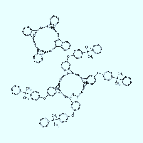 CC(C)(c1ccccc1)c1ccc(Oc2ccc3c(c2)-c2nc-3nc3[nH]c(nc4nc(nc5[nH]c(n2)c2cc(Oc6ccc(C(C)(C)c7ccccc7)cc6)ccc52)-c2ccc(Oc5ccc(C(C)(C)c6ccccc6)cc5)cc2-4)c2cc(Oc4ccc(C(C)(C)c5ccccc5)cc4)ccc32)cc1.c1ccc2c(c1)-c1nc-2nc2[nH]c(nc3nc(nc4[nH]c(n1)c1ccccc41)-c1ccccc1-3)c1ccccc21